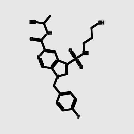 CC(O)NC(=O)c1cc2c(S(=O)(=O)NCCCO)cn(Cc3ccc(F)cc3)c2cn1